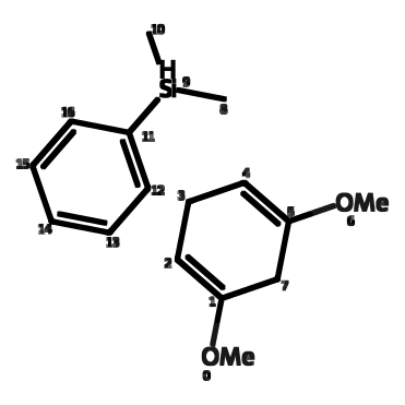 COC1=CCC=C(OC)C1.C[SiH](C)c1ccccc1